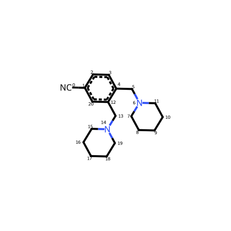 N#Cc1ccc(CN2CCCCC2)c(CN2CCCCC2)c1